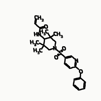 C=CC(=O)NC1C(C)(C)CN(S(=O)(=O)c2ccc(Oc3ccccc3)nc2)CC1(C)C